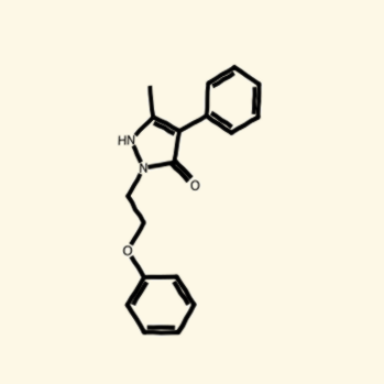 Cc1[nH]n(CCOc2ccccc2)c(=O)c1-c1ccccc1